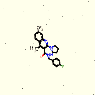 Cc1c(C(=O)NCc2ccc(F)cc2)c(N2CCCC2)nc2cc(C(F)(F)F)ccc12